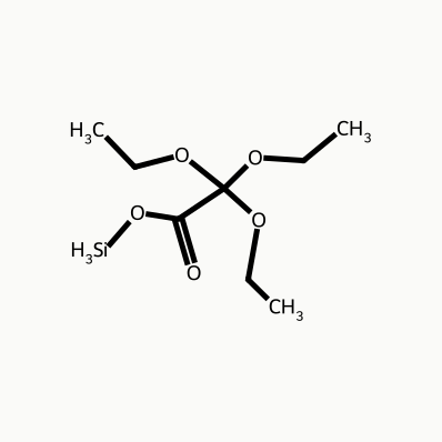 CCOC(OCC)(OCC)C(=O)O[SiH3]